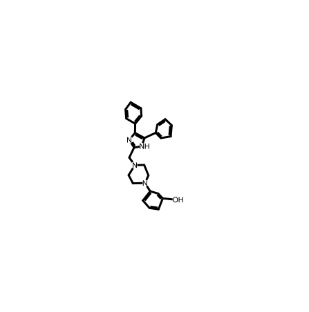 Oc1cccc(N2CCN(Cc3nc(-c4ccccc4)c(-c4ccccc4)[nH]3)CC2)c1